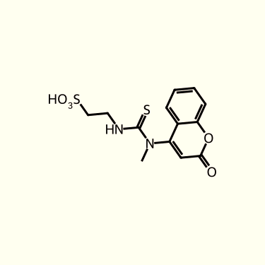 CN(C(=S)NCCS(=O)(=O)O)c1cc(=O)oc2ccccc12